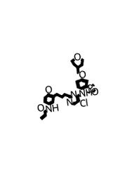 C=CC(=O)Nc1ccc(OC)c(CCCc2ncc(Cl)c(Nc3ccc(OCC4CCOCC4)cc3P(C)(C)=O)n2)c1